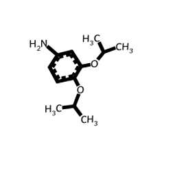 CC(C)Oc1ccc(N)cc1OC(C)C